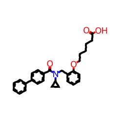 O=C(O)CCCCCOc1ccccc1CN(C(=O)c1ccc(-c2ccccc2)cc1)C1CC1